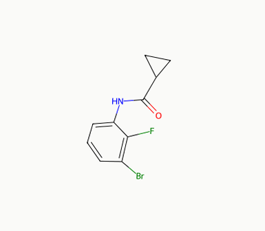 O=C(Nc1cccc(Br)c1F)C1CC1